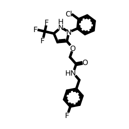 O=C(COC1=CC(C(F)(F)F)NN1c1ccccc1Cl)NCc1ccc(F)cc1